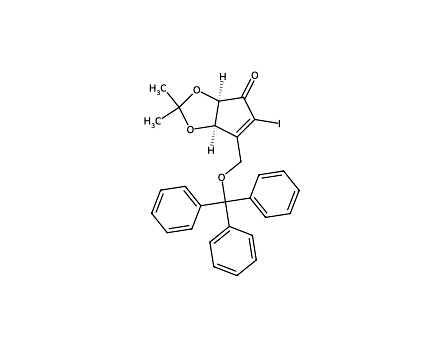 CC1(C)O[C@@H]2C(COC(c3ccccc3)(c3ccccc3)c3ccccc3)=C(I)C(=O)[C@@H]2O1